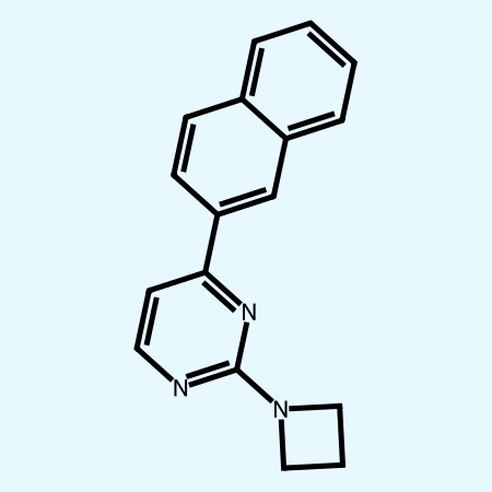 c1ccc2cc(-c3ccnc(N4CCC4)n3)ccc2c1